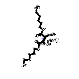 CCCC/C(C(=O)OCCCCCC(C)C)=C(\CCCC)C(=O)OCCCCCC(C)C.[SnH2]